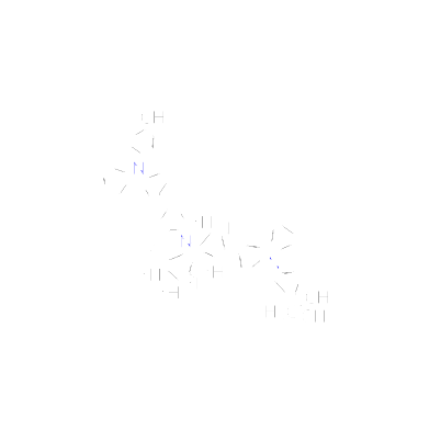 [2H]c1c([2H])c([2H])c2c(c1[2H])c1c([2H])c(-c3ccc4c(c3)c3ccccc3n4-c3ccc(C(C)(C)C)cc3)c([2H])c([2H])c1n2-c1ccc(-c2ccc3c(c2)c2ccccc2n3-c2ccc(C)cc2)cc1